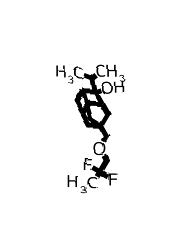 CC(C)C1(O)C2CC3CC1CC(COCC(C)(F)F)(C3)C2